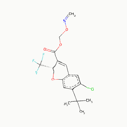 C=NOCOC(=O)C1=Cc2cc(Cl)c(C(C)(C)C)cc2O[C@@H]1C(F)(F)F